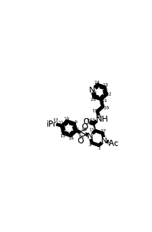 CC(=O)N1CCN(S(=O)(=O)c2ccc(C(C)C)cc2)[C@@H](C(=O)NCCc2cccnc2)C1